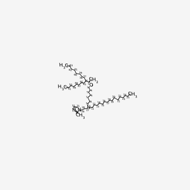 C=C(OCCCCCCCN(CCCCCCCCCCCCCCCC)CCCn1ccnc1C)C(CCCCCCCC)CCCCCCCC